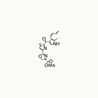 C=C/C=C\c1c(C(=O)c2nc(C3=N[C@H](C(=O)OC)CO3)cs2)c[nH]c1C